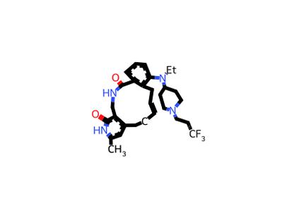 CCN(c1cccc2c1C/C=C/CCc1cc(C)[nH]c(=O)c1CNC2=O)C1CCN(CCC(F)(F)F)CC1